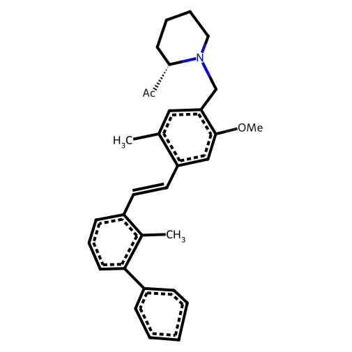 COc1cc(/C=C/c2cccc(-c3ccccc3)c2C)c(C)cc1CN1CCCC[C@H]1C(C)=O